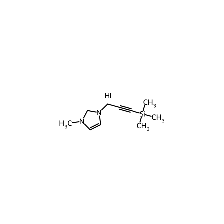 CN1C=CN(CC#C[Si](C)(C)C)C1.I